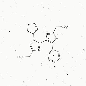 O=C(O)CC1=NC(c2nc(CC(=O)O)cn2C2CCCC2)=C(c2ccccc2)[N]1